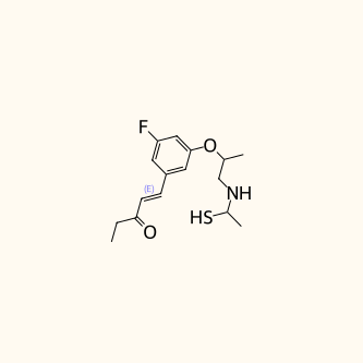 CCC(=O)/C=C/c1cc(F)cc(OC(C)CNC(C)S)c1